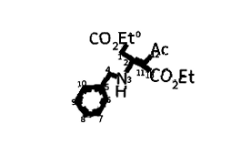 CCOC(=O)C/C(NCc1ccccc1)=C(\C(C)=O)C(=O)OCC